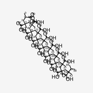 CC(CC(C)(CC(C)(CC(C)(CC(C)(CC(C)(CC(C)(CC(C)(CC(C)(CC(C)(CC(C)(CC(C)(CC(C)(CC(C)(CC(C)(C(=O)O)C(C)C)C(=O)O)C(=O)O)C(=O)O)C(=O)O)C(=O)O)C(=O)O)C(=O)O)C(=O)O)C(=O)O)C(=O)O)C(=O)O)C(=O)O)C(=O)O)C(=O)O